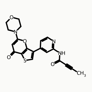 CC#CC(=O)Nc1cc(-c2csc3c(=O)cc(N4CCOCC4)oc23)ccn1